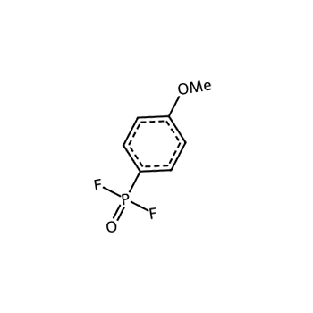 COc1ccc(P(=O)(F)F)cc1